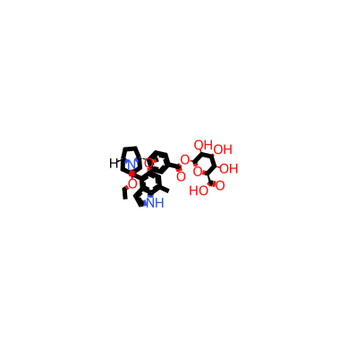 CCO[C@H]1C[C@H]2CC[C@@](c3ccc(C(=O)O[C@H]4O[C@H](C(=O)O)[C@@H](O)[C@H](O)[C@H]4O)cc3)(C1)N2Cc1c(OC)cc(C)c2[nH]ccc12